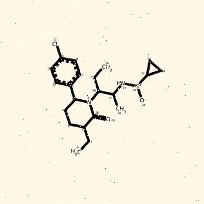 CCC1CCC(c2ccc(Cl)cc2)N(C(CC)C(C)N[S+]([O-])C2CC2)C1=O